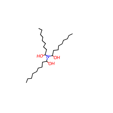 CCCCCCCCC(O)N(C(O)CCCCCCCC)C(O)CCCCCCCC